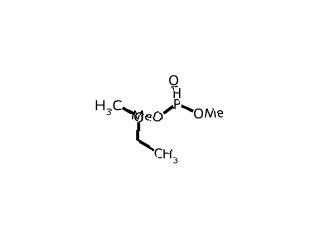 CCOC.CO[PH](=O)OC